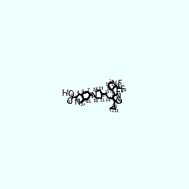 O=C(O)c1cc2ccc(N3CCC(C=Cc4c(-c5cccnc5C(F)(F)F)noc4C4CC4)CC3)cc2cn1